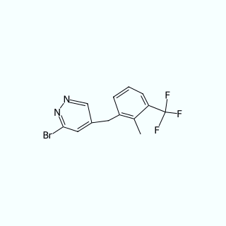 Cc1c(Cc2cnnc(Br)c2)cccc1C(F)(F)F